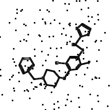 Fc1cc(OC2CCN(Cc3ccccc3)CC2)c(Cl)cc1SNc1nccs1